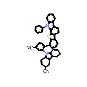 N#Cc1ccc(-c2cccc3c2sc2c3ccc3c4ccccc4n(-c4ccccc4)c32)c(-n2c3c(c4c2C=CC(C#N)C4)CCC=C3)c1